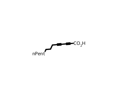 CCCCCCCCC#CC#CC(=O)O